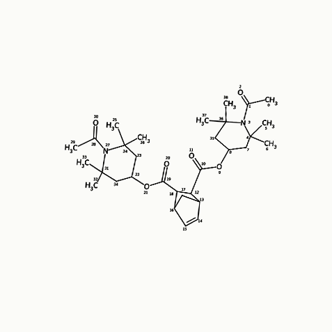 CC(=O)N1C(C)(C)CC(OC(=O)C2C3C=CC(C3)C2C(=O)OC2CC(C)(C)N(C(C)=O)C(C)(C)C2)CC1(C)C